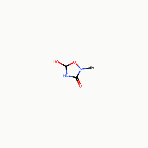 CC(C)N1OC(O)NC1=O